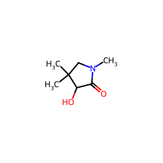 CN1CC(C)(C)C(O)C1=O